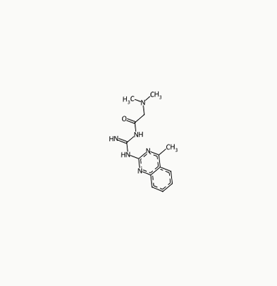 Cc1nc(NC(=N)NC(=O)CN(C)C)nc2ccccc12